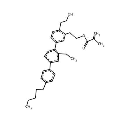 C=C(C)C(=O)OCCc1cc(-c2ccc(-c3ccc(CCCCC)cc3)cc2CC)ccc1CCO